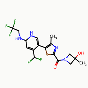 Cc1nc(C(=O)N2CC(C)(O)C2)sc1C1=CNC(NCC(F)(F)F)C=C1C(F)F